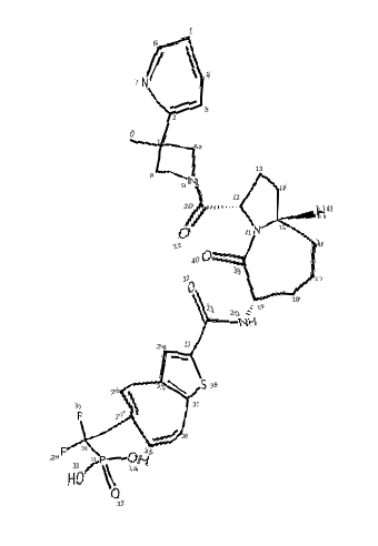 CC1(c2ccccn2)CN(C(=O)[C@@H]2CC[C@@H]3CCC[C@H](NC(=O)c4cc5cc(C(F)(F)P(=O)(O)O)ccc5s4)C(=O)N32)C1